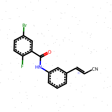 N#C/C=C/c1cccc(NC(=O)c2cc(Br)ccc2F)c1